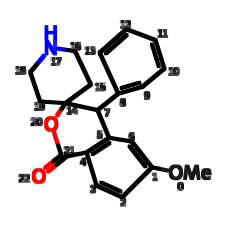 COc1ccc2c(c1)C(c1ccccc1)C1(CCNCC1)OC2=O